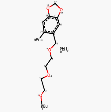 CCCCOCCOCCOCc1cc2c(cc1CCC)OCO2.[PbH2]